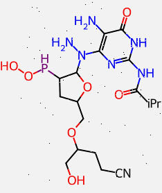 CC(C)C(=O)Nc1nc(N(N)C2OC(COC(CO)CCC#N)CC2POO)c(N)c(=O)[nH]1